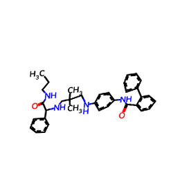 CCCNC(=O)C(NCC(C)(C)CNc1ccc(NC(=O)c2ccccc2-c2ccccc2)cc1)c1ccccc1